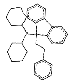 c1ccc(CCC2(P(C3CCCCC3)C3CCCCC3)c3ccccc3-c3ccccc32)cc1